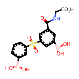 O=C(O)CNC(=O)c1cc(B(O)O)cc(S(=O)(=O)c2cccc(B(O)O)c2)c1